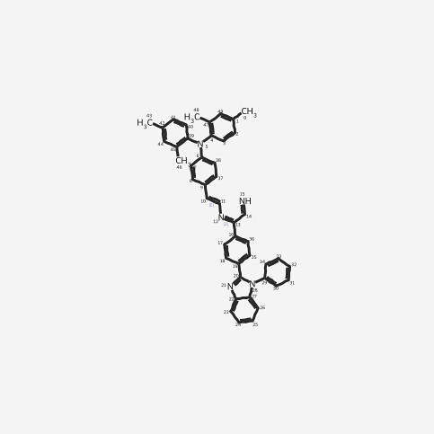 Cc1ccc(N(c2ccc(/C=C/N=C(\C=N)c3ccc(-c4nc5ccccc5n4-c4ccccc4)cc3)cc2)c2ccc(C)cc2C)c(C)c1